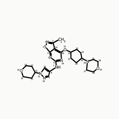 Cc1nsc2nc(Nc3cnn(C4CCOCC4)c3)nc(OC3CCC(N4CCOCC4)CC3)c12